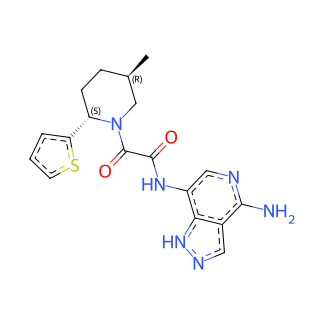 C[C@@H]1CC[C@@H](c2cccs2)N(C(=O)C(=O)Nc2cnc(N)c3cn[nH]c23)C1